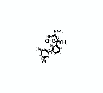 CNC(=N)NC(C)(C=O)c1cccc(-c2cc(Cl)cc(Cl)c2)c1